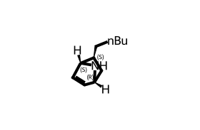 CCCCC[C@H]1C[C@@H]2C=C[C@H]1N2